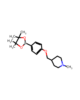 CN1CCC(COc2ccc(B3OC(C)(C)C(C)(C)O3)cc2)CC1